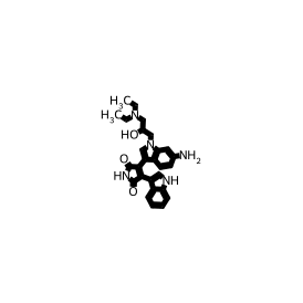 CCN(CC)CC(O)Cn1cc(C2=C(c3c[nH]c4ccccc34)C(=O)NC2=O)c2ccc(N)cc21